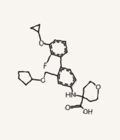 O=C(O)C1(Nc2ccc(-c3cccc(OC4CC4)c3F)c(COC3CCCC3)c2)CCOCC1